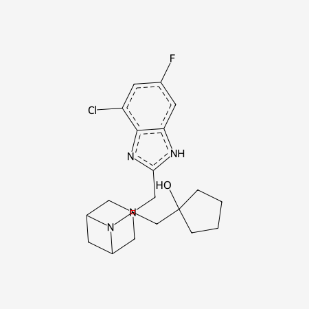 OC1(CCN2C3CC2CN(Cc2nc4c(Cl)cc(F)cc4[nH]2)C3)CCCC1